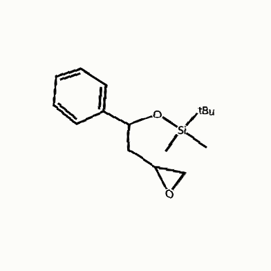 CC(C)(C)[Si](C)(C)OC(CC1CO1)c1ccccc1